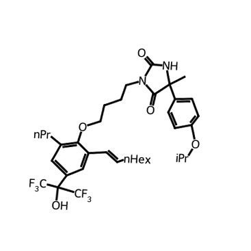 CCCCCCC=Cc1cc(C(O)(C(F)(F)F)C(F)(F)F)cc(CCC)c1OCCCCN1C(=O)NC(C)(c2ccc(OC(C)C)cc2)C1=O